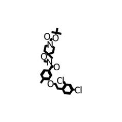 Cc1ccc(C(=O)N2COC3(CCN(C(=O)OC(C)(C)C)CC3)C2)cc1OCCc1ccc(Cl)cc1Cl